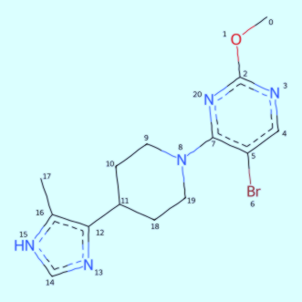 COc1ncc(Br)c(N2CCC(c3nc[nH]c3C)CC2)n1